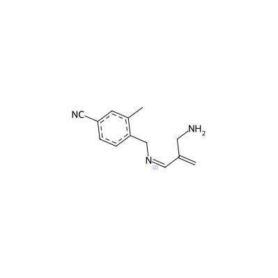 C=C(/C=N\Cc1ccc(C#N)cc1C)CN